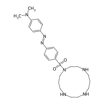 CN(C)c1ccc(N=Nc2ccc(S(=O)(=O)N3CCCNCCNCCCNCC3)cc2)cc1